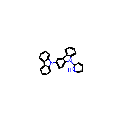 C1=CNC(n2c3ccccc3c3cc(-n4c5ccccc5c5ccccc54)ccc32)C=C1